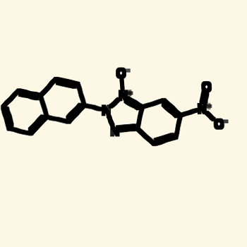 O=[N+]([O-])c1ccc2nn(-c3ccc4ccccc4c3)[n+]([O-])c2c1